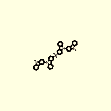 Cn1c2ccccc2c2cc(-n3c4ccccc4c4cc([Si](C)(C)c5ccc6c(c5)c5ccccc5n6-c5ccc6c(c5)c5ccccc5n6C)ccc43)ccc21